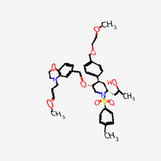 COCCCN1CCOc2ccc(CO[C@H]3CN(S(=O)(=O)c4ccc(C)cc4)[C@@H](CC(C)O)C[C@@H]3c3ccc(COCCOC)cc3)cc21